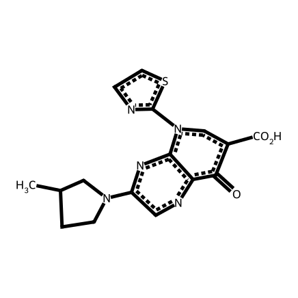 CC1CCN(c2cnc3c(=O)c(C(=O)O)cn(-c4nccs4)c3n2)C1